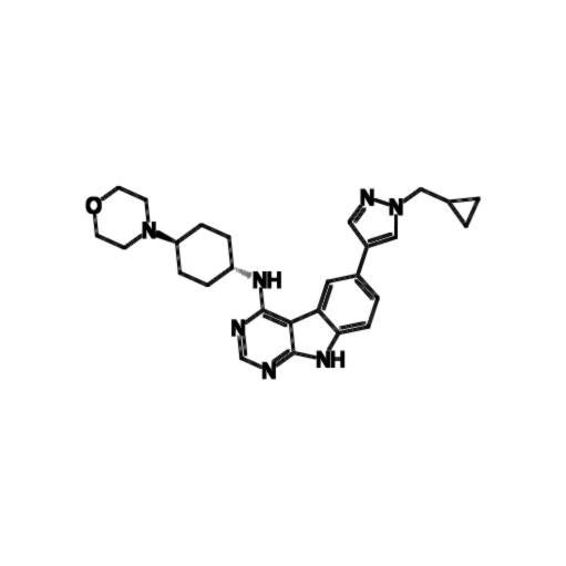 c1nc(N[C@H]2CC[C@H](N3CCOCC3)CC2)c2c(n1)[nH]c1ccc(-c3cnn(CC4CC4)c3)cc12